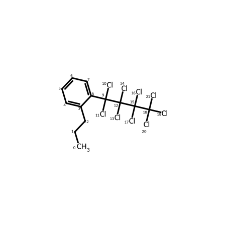 CC[CH]c1ccccc1C(Cl)(Cl)C(Cl)(Cl)C(Cl)(Cl)C(Cl)(Cl)Cl